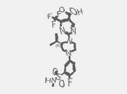 CNS(=O)(=O)c1cc(N2CCN(c3ncc(C(=O)O)c(C(F)(F)F)n3)[C@H](C(C)C)C2)ccc1F